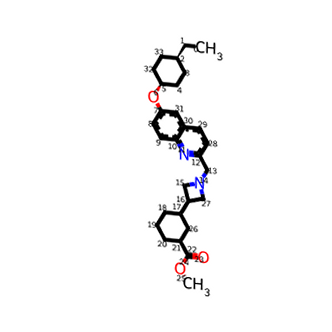 CC[C@H]1CC[C@@H](Oc2ccc3nc(CN4CC(C5CCCC(C(=O)OC)C5)C4)ccc3c2)CC1